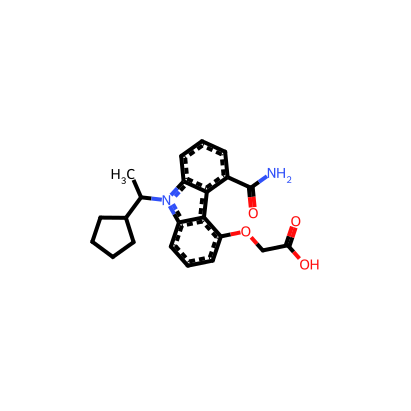 CC(C1CCCC1)n1c2cccc(OCC(=O)O)c2c2c(C(N)=O)cccc21